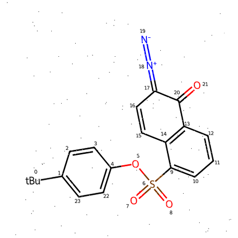 CC(C)(C)c1ccc(OS(=O)(=O)c2cccc3c2C=CC(=[N+]=[N-])C3=O)cc1